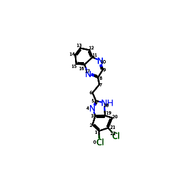 Clc1cc2nc(CCc3cnc4ccccc4n3)[nH]c2cc1Cl